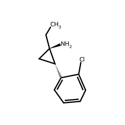 CC[C@@]1(N)C[C@H]1c1ccccc1Cl